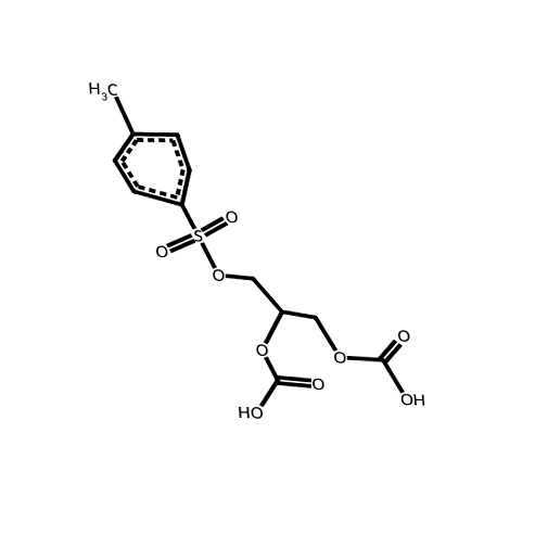 Cc1ccc(S(=O)(=O)OCC(COC(=O)O)OC(=O)O)cc1